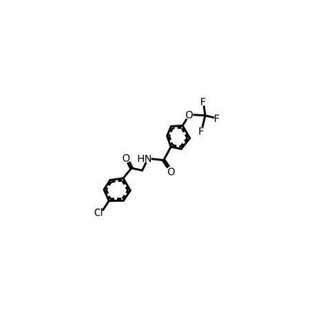 O=C(CNC(=O)c1ccc(OC(F)(F)F)cc1)c1ccc(Cl)cc1